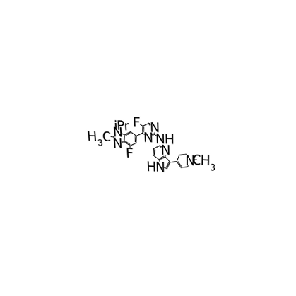 Cc1nc2c(F)cc(-c3nc(Nc4ccc5[nH]cc(C6=CCN(C)CC6)c5n4)ncc3F)cc2n1C(C)C